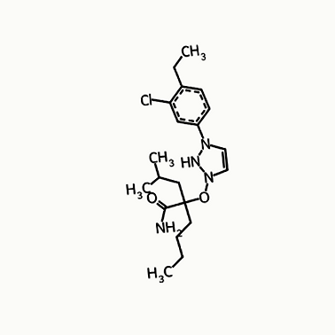 CCCCC(CC(C)C)(ON1C=CN(c2ccc(CC)c(Cl)c2)N1)C(N)=O